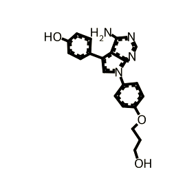 Nc1ncnc2c1c(-c1ccc(O)cc1)cn2-c1ccc(OCCCO)cc1